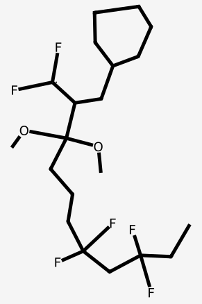 CCC(F)(F)CC(F)(F)CCCC(OC)(OC)C(CC1CCCCC1)[C](F)F